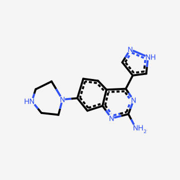 Nc1nc(-c2cn[nH]c2)c2ccc(N3CCNCC3)cc2n1